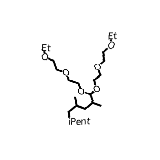 CCCC(C)CC(C)CC(C)C(OCCOCCOCC)OCCOCCOCC